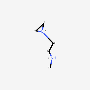 CNCCN1CC1